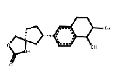 CCCCC1CCc2cc([C@H]3CC[C@]4(COC(=O)N4)C3)ccc2C1O